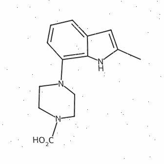 Cc1cc2cccc(N3CCN(C(=O)O)CC3)c2[nH]1